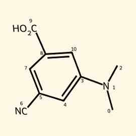 CN(C)c1cc(C#N)cc(C(=O)O)c1